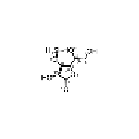 O=C1O[C@H]([C@@H](O)CO)C(O[SiH3])=C1O